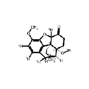 [2H]O[C@@]12CCC(=O)C3([2H])Oc4c(OC)c([2H])c([2H])c5c4[C@@]31CCN(C)[C@]2([2H])C5([2H])[2H]